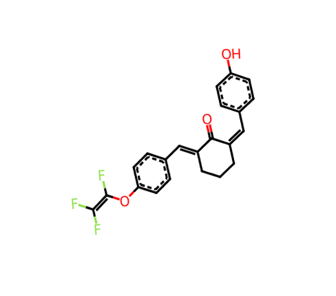 O=C1/C(=C\c2ccc(O)cc2)CCC/C1=C\c1ccc(OC(F)=C(F)F)cc1